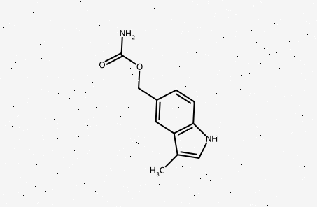 Cc1c[nH]c2ccc(COC(N)=O)cc12